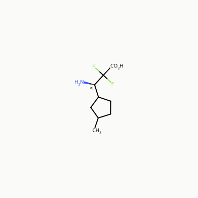 CC1CCC([C@@H](N)C(F)(F)C(=O)O)C1